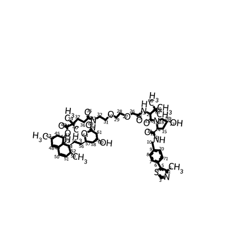 Cc1ncsc1-c1ccc(CNC(=O)[C@@H]2C[C@@H](O)CN2C(=O)C(NC(=O)COCCOCCNC(=O)CCC(C)(C)C(=O)O[C@H]2C[C@@H](C)C=C3C=C[C@H](C)[C@H](CC[C@@H]4C[C@@H](O)CC(=O)O4)[C@H]32)C(C)(C)C)cc1